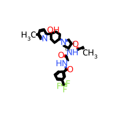 CCCO[C@H]1CN(C2CCC(O)(c3ccc(C)cn3)CC2)C[C@@H]1NC(=O)CNC(=O)c1cccc(C(F)(F)F)c1